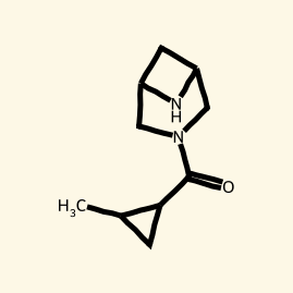 CC1CC1C(=O)N1CC2CC(C1)N2